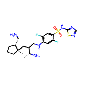 C[C@@H](N)C(CNc1cc(F)c(S(=O)(=O)Nc2ncns2)cc1F)C[C@@]1(C)CCC[C@@H]1CN